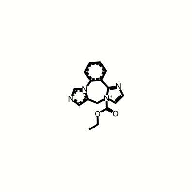 CCOC(=O)[N+]12C=CN=C1c1ccccc1-n1cncc1C2